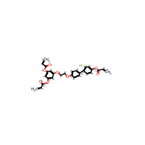 C=CC(=O)Oc1cc(OCCOc2ccc(-c3ccc(OC(=O)C=C)cc3F)cc2)cc(OC(=O)C=C)c1